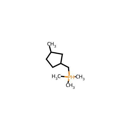 CC1CCC(C[PH](C)(C)C)C1